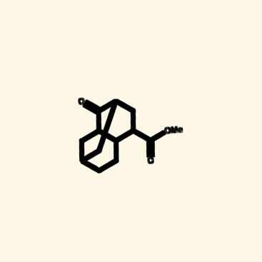 COC(=O)C1CC2CC3CCC1C(C3)C2=O